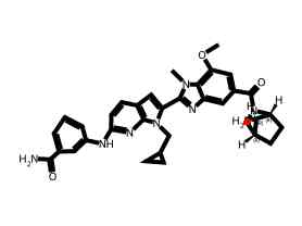 COc1cc(C(=O)N2C[C@H]3CC[C@@H]2[C@@H]3N)cc2nc(-c3cc4ccc(Nc5cccc(C(N)=O)c5)nc4n3CC3CC3)n(C)c12